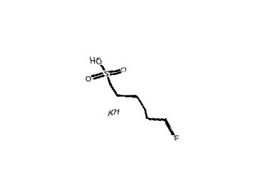 O=S(=O)(O)CCCCF.[KH]